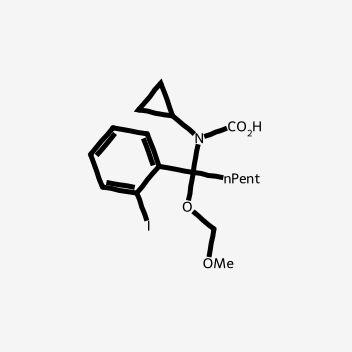 CCCCCC(OCOC)(c1ccccc1I)N(C(=O)O)C1CC1